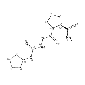 NC(=O)[C@@H]1CCCN1C(=O)CNC(=O)OC1CCCC1